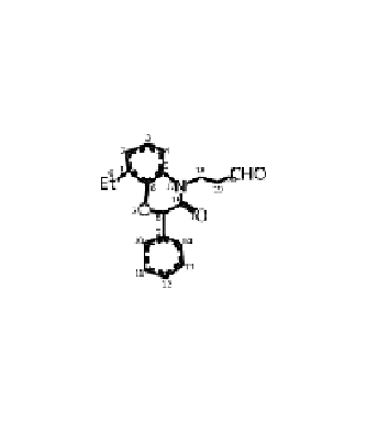 CCc1cccc2c1OC(c1ccccc1)C(=O)N2CCC=O